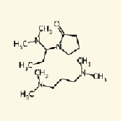 CCC(N(C)C)N1CCCC1=O.CN(C)CCCN(C)C